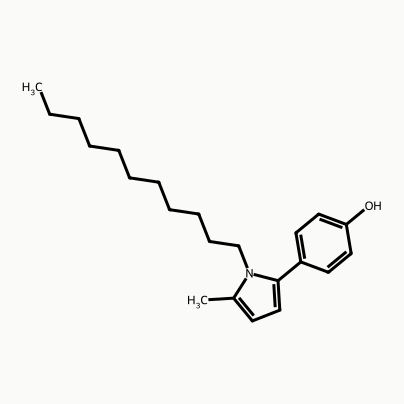 CCCCCCCCCCCn1c(C)ccc1-c1ccc(O)cc1